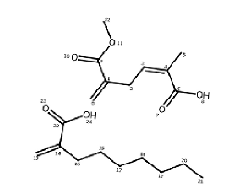 C=C(CC=C(C)C(=O)O)C(=O)OC.C=C(CCCCCCC)C(=O)O